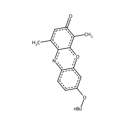 CCCCOc1ccc2nc3c(C)cc(=O)c(C)c-3oc2c1